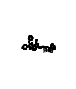 O=C([C@H](Cc1ccccc1)Oc1cccc2c(CCNC[C@H](O)c3cccnc3)c[nH]c12)N1CCOCC1